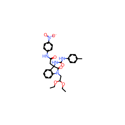 CCOC(CN1C(=O)C(CC(=O)Nc2ccc([N+](=O)[O-])cc2)(NC(=O)Nc2ccc(C)cc2)c2ccccc21)OCC